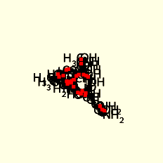 CN[C@H](CC(C)C)C(=O)N[C@H]1C(=O)N[C@@H](CC(N)=O)C(=O)N[C@H]2C(=O)N[C@@H](C(N)=O)c3ccc(O)c(c3)-c3c(O)cc(O)cc3[C@H](C(=O)NCCOCCOCC(=O)Oc3ccc(N)c(O)c3C(N)=O)NC(=O)C[C@H](O)c3ccc(c(Cl)c3)Oc3cc2cc(c3OC2O[C@@H](CO)[C@@H](O)[C@H](O)[C@@H]2O[C@@H]2CC(=N)[C@H](O)[C@@H](C)O2)Oc2ccc(cc2Cl)[C@H]1O